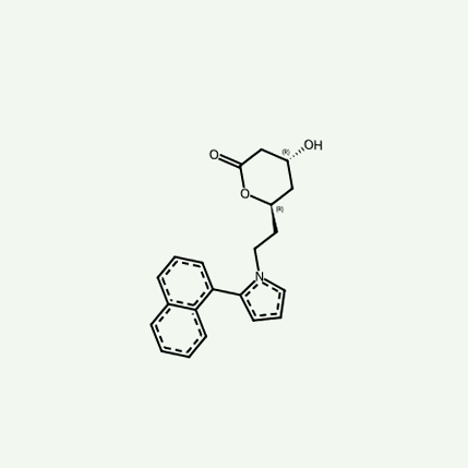 O=C1C[C@H](O)C[C@@H](CCn2cccc2-c2cccc3ccccc23)O1